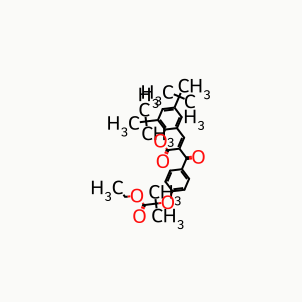 CCOC(=O)C(C)(C)Oc1ccc(C(=O)c2cc3cc(C(C)(C)C)cc(C(C)(C)C)c3oc2=O)cc1